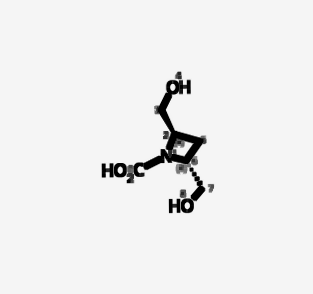 O=C(O)N1[C@@H](CO)C[C@@H]1CO